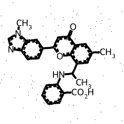 Cc1cc(C(C)Nc2ccccc2C(=O)O)c2oc(-c3ccc4ncn(C)c4c3)cc(=O)c2c1